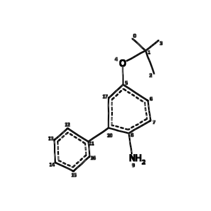 CC(C)(C)Oc1ccc(N)c(-c2ccccc2)c1